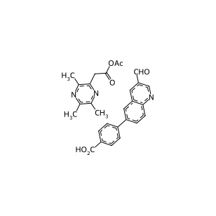 CC(=O)OC(=O)Cc1nc(C)c(C)nc1C.O=Cc1cnc2ccc(-c3ccc(C(=O)O)cc3)cc2c1